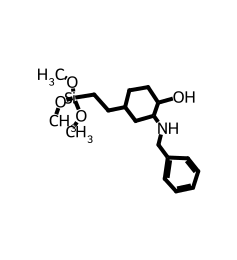 CO[Si](CCC1CCC(O)C(NCc2ccccc2)C1)(OC)OC